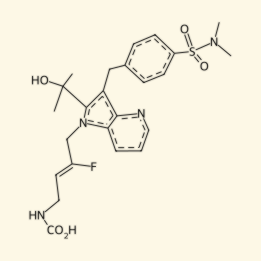 CN(C)S(=O)(=O)c1ccc(Cc2c(C(C)(C)O)n(CC(F)=CCNC(=O)O)c3cccnc23)cc1